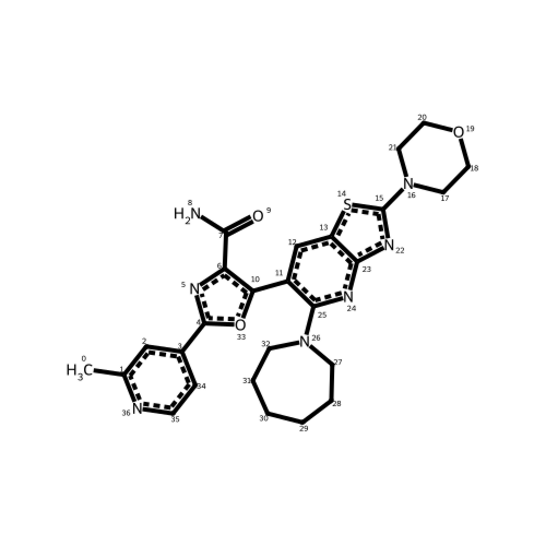 Cc1cc(-c2nc(C(N)=O)c(-c3cc4sc(N5CCOCC5)nc4nc3N3CCCCCC3)o2)ccn1